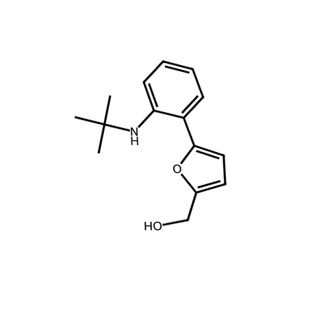 CC(C)(C)Nc1ccccc1-c1ccc(CO)o1